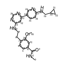 CNC(=O)c1ccc(CCNc2cc(-c3ccc(NCC4CC4)nc3)ncn2)c(OC)c1